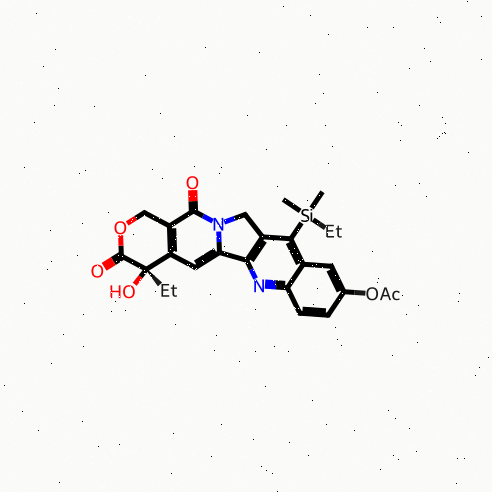 CC[C@@]1(O)C(=O)OCc2c1cc1n(c2=O)Cc2c-1nc1ccc(OC(C)=O)cc1c2[Si](C)(C)CC